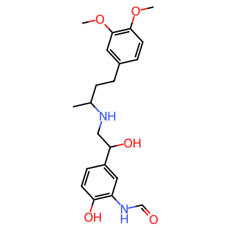 COc1ccc(CCC(C)NCC(O)c2ccc(O)c(NC=O)c2)cc1OC